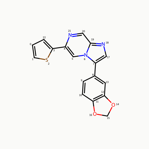 c1csc(-c2cn3c(-c4ccc5c(c4)OCO5)cnc3cn2)c1